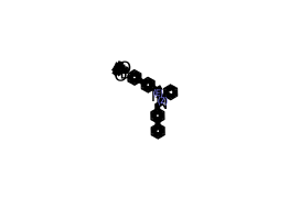 C/C(=N\C(=N/Cc1ccc(-c2ccccc2)cc1)C1=CCCC=C1)c1ccc(-c2ccc(B3OC(C)(C)C(C)(C)O3)cc2)cc1